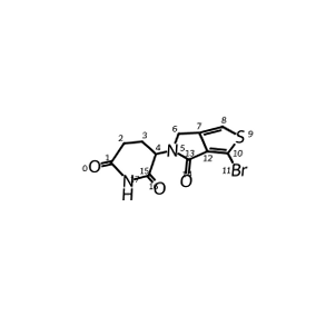 O=C1CCC(N2Cc3csc(Br)c3C2=O)C(=O)N1